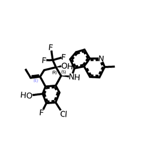 C/C=C1\C[C@](O)(C(F)(F)F)[C@@H](Nc2cccc3nc(C)ccc23)c2cc(Cl)c(F)c(O)c21